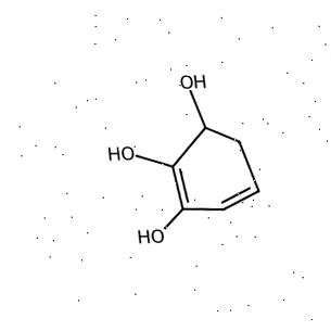 OC1=C(O)C(O)CC=C1